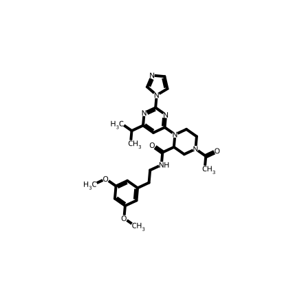 COc1cc(CCNC(=O)C2CN(C(C)=O)CCN2c2cc(C(C)C)nc(-n3ccnc3)n2)cc(OC)c1